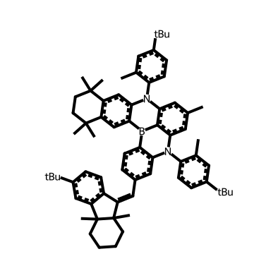 Cc1cc2c3c(c1)N(c1ccc(C(C)(C)C)cc1C)c1cc4c(cc1B3c1ccc(/C=C3\c5ccc(C(C)(C)C)cc5C5(C)CCCCC35C)cc1N2c1ccc(C(C)(C)C)cc1C)C(C)(C)CCC4(C)C